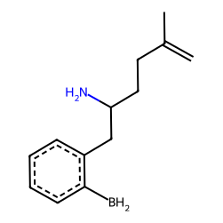 Bc1ccccc1CC(N)CCC(=C)C